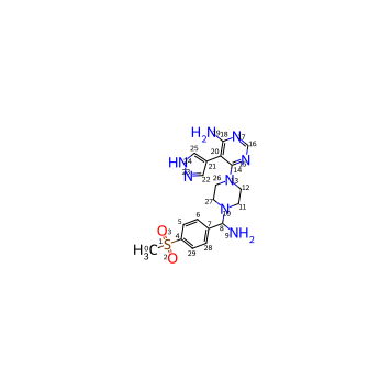 CS(=O)(=O)c1ccc(C(N)N2CCN(c3ncnc(N)c3-c3cn[nH]c3)CC2)cc1